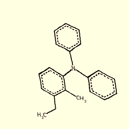 CCc1cccc(N(c2ccccc2)c2ccccc2)c1C